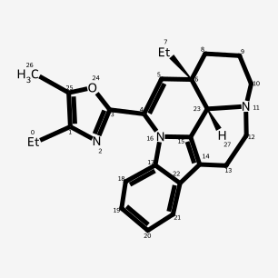 CCc1nc(C2=C[C@]3(CC)CCCN4CCc5c(n2c2ccccc52)[C@@H]43)oc1C